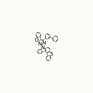 c1ccc(-c2cccc(-c3nc(-n4c5ccccc5c5c6c(ccc54)sc4ccccc46)nc4oc5ccccc5c34)c2)cc1